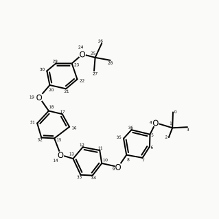 CC(C)(C)Oc1ccc(Oc2ccc(Oc3ccc(Oc4ccc(OC(C)(C)C)cc4)cc3)cc2)cc1